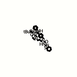 CC(C)(C)OC(=O)Nc1ccccc1NC(=O)c1ccc(CN(CCCN2CCOCC2)C(=O)Nc2nc3c(s2)CCCC3)cc1